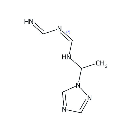 CC(N/C=N\C=N)n1cncn1